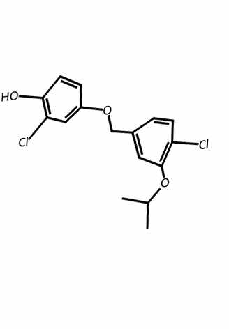 CC(C)Oc1cc(COc2ccc(O)c(Cl)c2)ccc1Cl